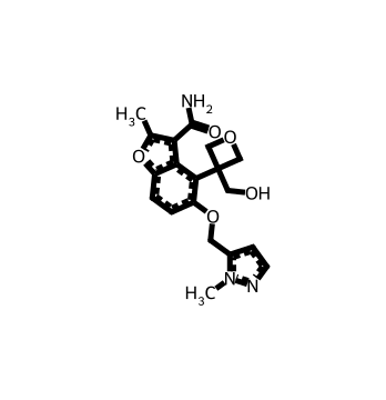 Cc1oc2ccc(OCc3ccnn3C)c(C3(CO)COC3)c2c1C(N)=O